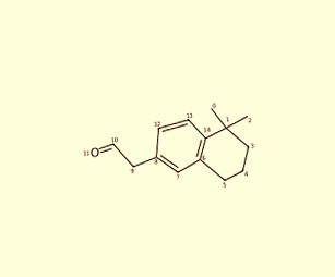 CC1(C)CCCc2cc(CC=O)ccc21